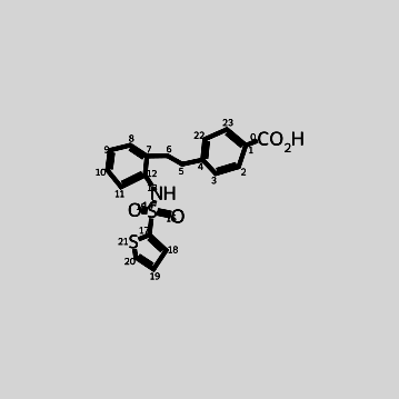 O=C(O)c1ccc(CCc2ccccc2NS(=O)(=O)c2cccs2)cc1